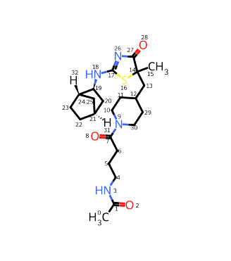 CC(=O)NCCCC(=O)N1CCC(CC2(C)SC(N[C@H]3C[C@H]4CC[C@H]3C4)=NC2=O)CC1